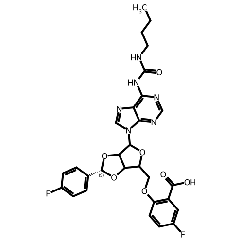 CCCCNC(=O)Nc1ncnc2c1ncn2C1OC(COc2ccc(F)cc2C(=O)O)C2O[C@H](c3ccc(F)cc3)OC21